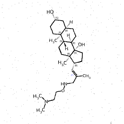 C/C(=C\[C@H]1CC[C@]2(O)[C@@H]3CC[C@@H]4C[C@@H](O)CC[C@]4(C)[C@H]3CC[C@]12C)CNOCCN(C)C